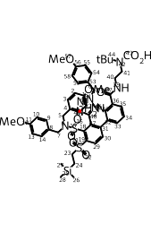 COc1ccc(CN(Cc2ccc(OC)cc2)S(=O)(=O)c2c(S(=O)(=O)CC[Si](C)(C)C)ccc(-c3cccc(C(=O)NCCN(C(=O)O)C(C)(C)C)c3N)c2-c2nnn(Cc3ccc(OC)cc3)n2)cc1